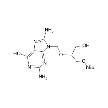 CCCCOCC(CO)OCn1c(N)nc2c(O)nc(N)nc21